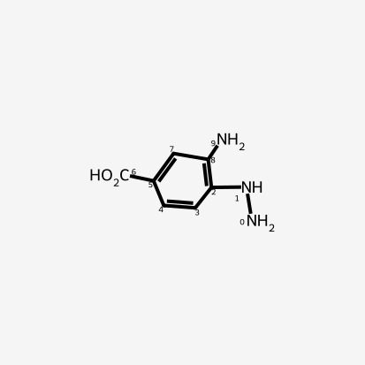 NNc1ccc(C(=O)O)cc1N